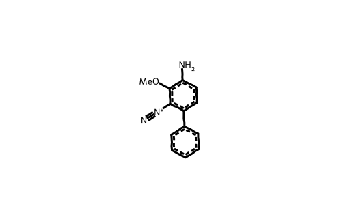 COc1c(N)ccc(-c2ccccc2)c1[N+]#N